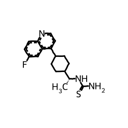 C[C@@H](NC(N)=S)C1CCC(c2ccnc3ccc(F)cc23)CC1